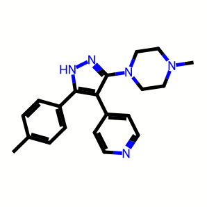 Cc1ccc(-c2[nH]nc(N3CCN(C)CC3)c2-c2ccncc2)cc1